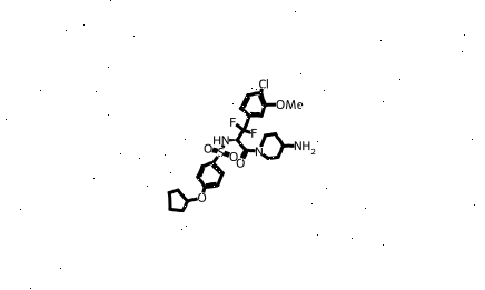 COc1cc(C(F)(F)[C@H](NS(=O)(=O)c2ccc(OC3CCCC3)cc2)C(=O)N2CCC(N)CC2)ccc1Cl